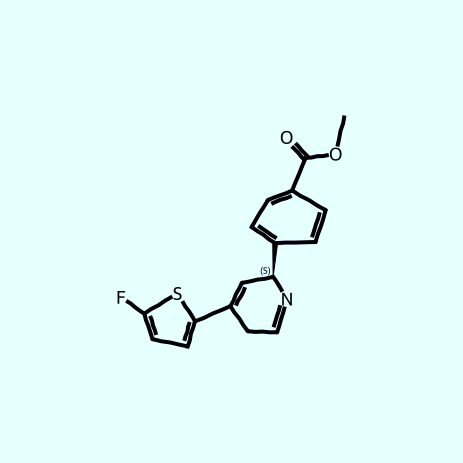 COC(=O)c1ccc([C@@H]2C=C(c3ccc(F)s3)CC=N2)cc1